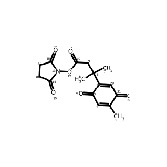 CC1=CC(=O)C(C(C)(C)CC(=O)ON2C(=O)CCC2=O)=CC1=O